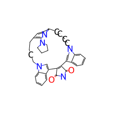 CN1C(=O)C2=C(C1=O)c1cn(c3ccccc13)CCCCc1ccc(nc1N1CCCC1)CCCCn1cc2c2ccccc21